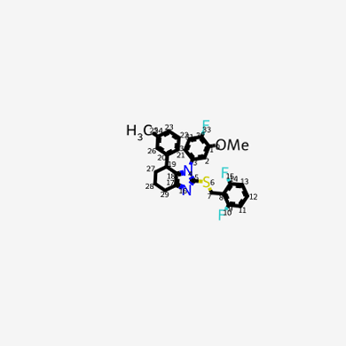 COc1cc(-n2c(SCc3c(F)cccc3F)nc3c2C(c2cccc(C)c2)CCC3)ccc1F